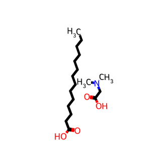 CCCCCCCCCCCCCC(=O)O.CN(C)CC(=O)O